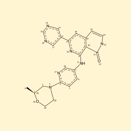 C[C@H]1CN(c2ccc(Nc3nc(-c4cncnc4)cc4c3C(=O)[N]C=C4)cn2)CCO1